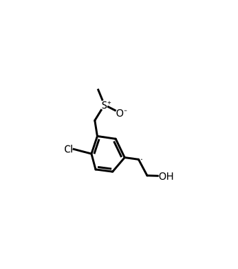 C[S+]([O-])Cc1cc([CH]CO)ccc1Cl